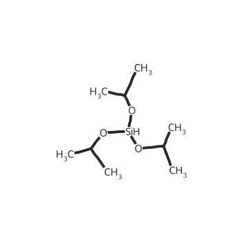 CC(C)O[SiH](OC(C)C)OC(C)C